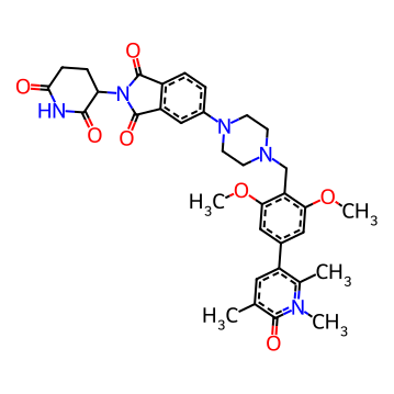 COc1cc(-c2cc(C)c(=O)n(C)c2C)cc(OC)c1CN1CCN(c2ccc3c(c2)C(=O)N(C2CCC(=O)NC2=O)C3=O)CC1